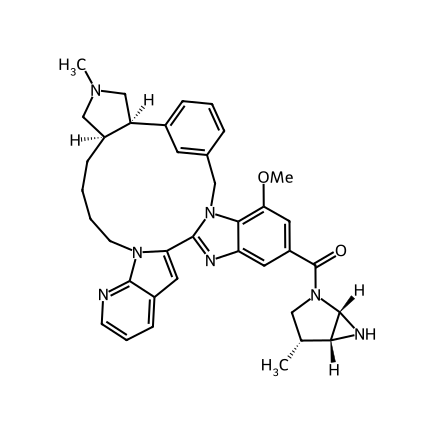 COc1cc(C(=O)N2C[C@@H](C)[C@H]3N[C@H]32)cc2nc3n(c12)Cc1cccc(c1)[C@@H]1CN(C)C[C@@H]1CCCCn1c-3cc2cccnc21